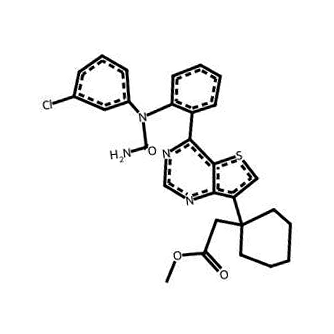 COC(=O)CC1(c2csc3c(-c4ccccc4N(C(N)=O)c4cccc(Cl)c4)ncnc23)CCCCC1